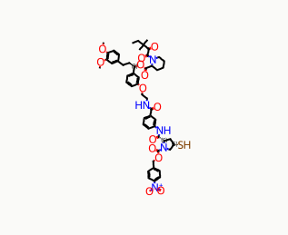 CCC(C)(C)C(=O)C(=O)N1CCCCC1C(=O)O[C@H](CCc1ccc(OC)c(OC)c1)c1cccc(OCCNC(=O)c2cccc(NC(=O)[C@@H]3C[C@H](S)CN3C(=O)OCc3ccc([N+](=O)[O-])cc3)c2)c1